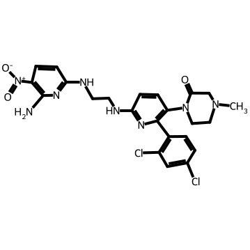 CN1CCN(c2ccc(NCCNc3ccc([N+](=O)[O-])c(N)n3)nc2-c2ccc(Cl)cc2Cl)C(=O)C1